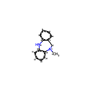 CN1Cc2ccccc2Nc2ccccc21